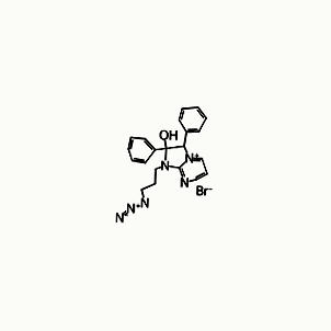 [Br-].[N-]=[N+]=NCCCN1c2nccc[n+]2C(c2ccccc2)C1(O)c1ccccc1